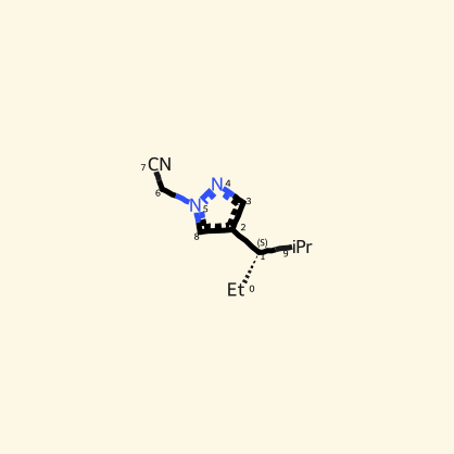 CC[C@H](c1cnn(CC#N)c1)C(C)C